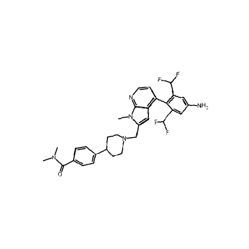 CN(C)C(=O)c1ccc(C2CCN(Cc3cc4c(-c5c(C(F)F)cc(N)cc5C(F)F)ccnc4n3C)CC2)cc1